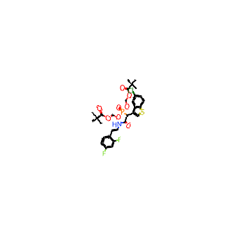 CC(C)(C)C(=O)OCOP(=O)(OCOC(=O)C(C)(C)C)C(C(=O)NC=Cc1ccc(F)cc1F)c1csc2ccc(Cl)cc12